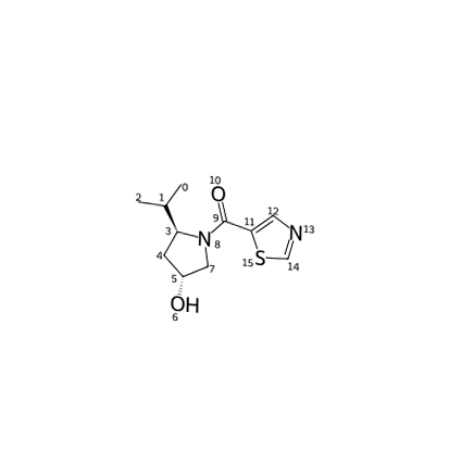 CC(C)[C@@H]1C[C@@H](O)CN1C(=O)c1cncs1